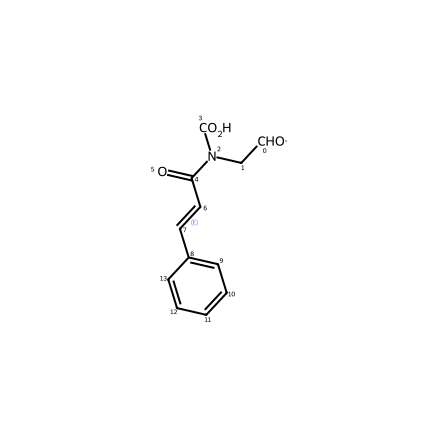 O=[C]CN(C(=O)O)C(=O)/C=C/c1ccccc1